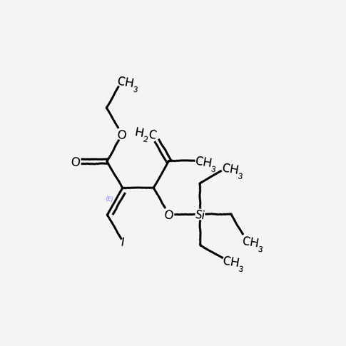 C=C(C)C(O[Si](CC)(CC)CC)/C(=C\I)C(=O)OCC